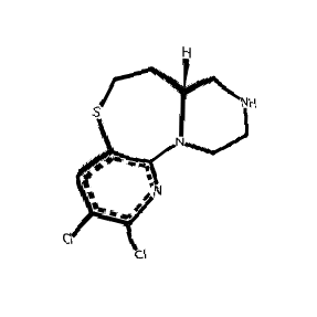 Clc1cc2c(nc1Cl)N1CCNC[C@H]1CCS2